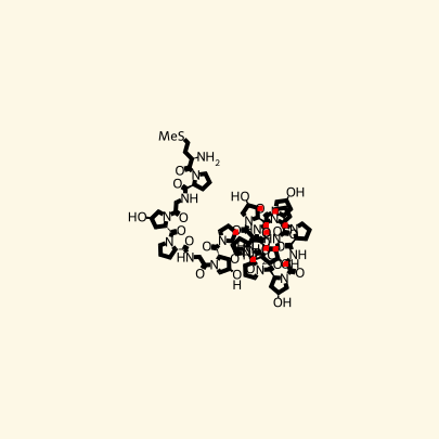 CSCC[C@H](N)C(=O)N1CCC[C@H]1C(=O)NCC(=O)N1C[C@H](O)C[C@H]1C(=O)N1CCC[C@H]1C(=O)NCC(=O)N1C[C@H](O)C[C@H]1C(=O)N1CCC[C@H]1C(=O)NCC(=O)N1C[C@H](O)C[C@H]1C(=O)N1CCC[C@H]1C(=O)NCC(=O)N1C[C@H](O)C[C@H]1C(=O)N1CCC[C@H]1C(=O)NCC(=O)N1C[C@H](O)C[C@H]1C(=O)N1CCC[C@H]1C(=O)NCC(=O)N1C[C@H](O)C[C@H]1C(=O)N1CCC[C@H]1C(=O)NCC(=O)O